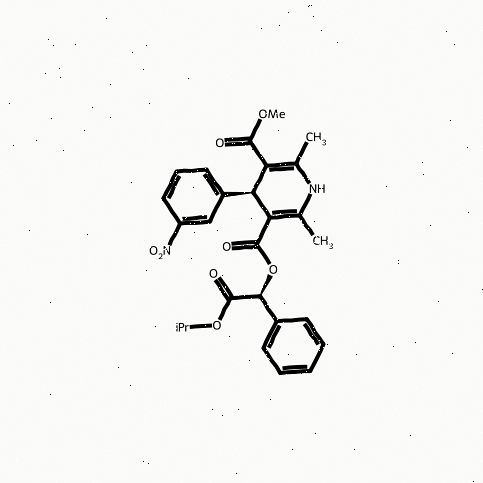 COC(=O)C1=C(C)NC(C)=C(C(=O)O[C@H](C(=O)OC(C)C)c2ccccc2)[C@H]1c1cccc([N+](=O)[O-])c1